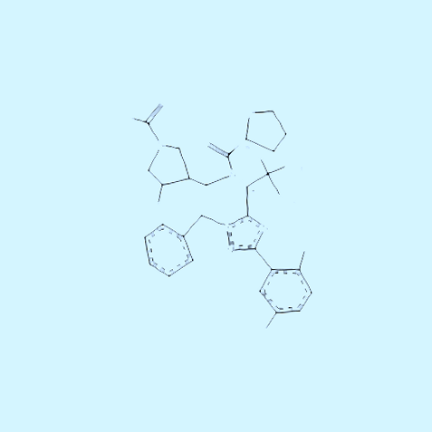 CC(C)(C)[C@H](c1nc(-c2cc(F)ccc2F)nn1Cc1ccccc1)N(CC1CN(C(=O)O)CC1F)C(=O)[C@@H]1CCCO1